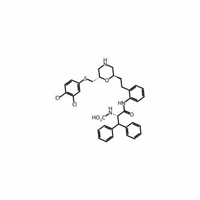 O=C(O)N[C@H](C(=O)Nc1ccccc1CC[C@@H]1CNC[C@@H](CSc2ccc(Cl)c(Cl)c2)O1)C(c1ccccc1)c1ccccc1